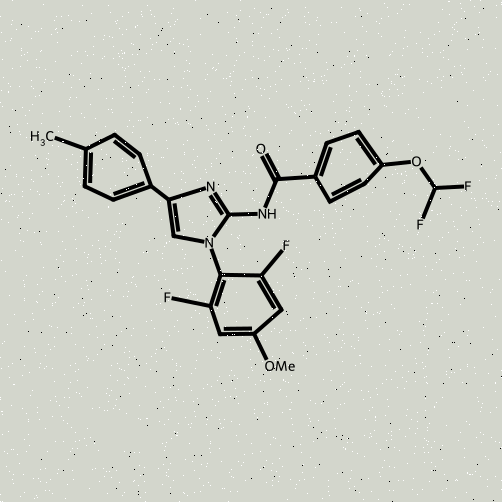 COc1cc(F)c(-n2cc(-c3ccc(C)cc3)nc2NC(=O)c2ccc(OC(F)F)cc2)c(F)c1